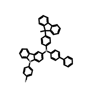 CC1(c2ccc(N(c3ccc(-c4ccccc4)cc3)c3ccc4c(c3)c3ccccc3n4-c3ccc(F)cc3)cc2)c2ccccc2-c2ccccc21